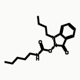 CCCCCNC(=O)On1c(=O)c2ccccc2n1CCCC